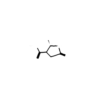 COC(=O)C1CC(=O)N[C@@H]1C(=O)O